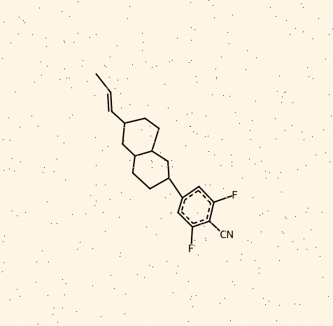 C/C=C/C1CCC2CC(c3cc(F)c(C#N)c(F)c3)CCC2C1